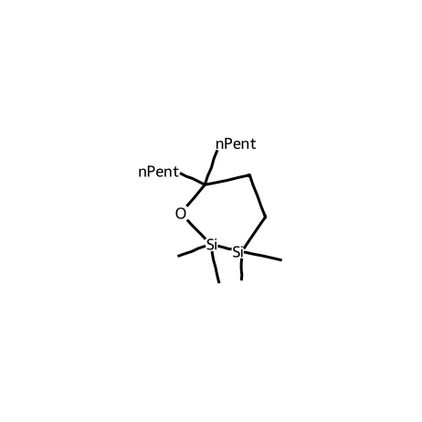 CCCCCC1(CCCCC)CC[Si](C)(C)[Si](C)(C)O1